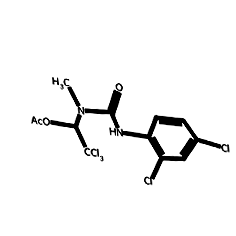 CC(=O)OC(N(C)C(=O)Nc1ccc(Cl)cc1Cl)C(Cl)(Cl)Cl